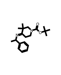 CC(/N=C1\CCN(C(=O)OC(C)(C)C)CC1(C)C)c1ccccc1